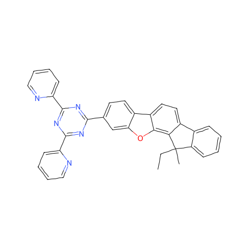 CCC1(C)c2ccccc2-c2ccc3c(oc4cc(-c5nc(-c6ccccn6)nc(-c6ccccn6)n5)ccc43)c21